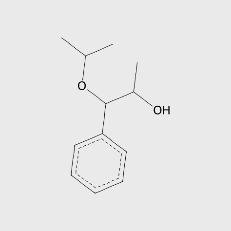 CC(C)OC(c1ccccc1)C(C)O